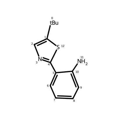 CC(C)(C)c1cnc(-c2ccccc2N)s1